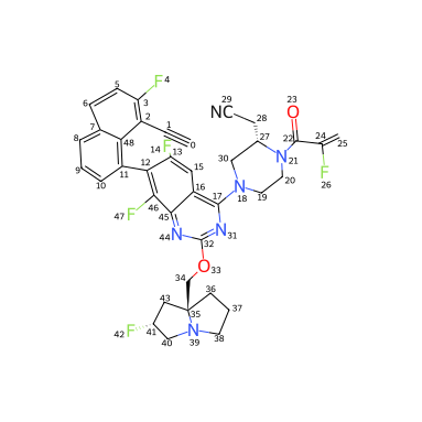 C#Cc1c(F)ccc2cccc(-c3c(F)cc4c(N5CCN(C(=O)C(=C)F)[C@@H](CC#N)C5)nc(OC[C@@]56CCCN5C[C@H](F)C6)nc4c3F)c12